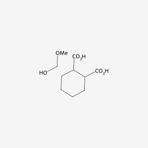 COCO.O=C(O)C1CCCCC1C(=O)O